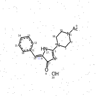 CC(=O)N1CCN(C2=NC(=O)/C(=C/c3ccccc3)N2)CC1.Cl